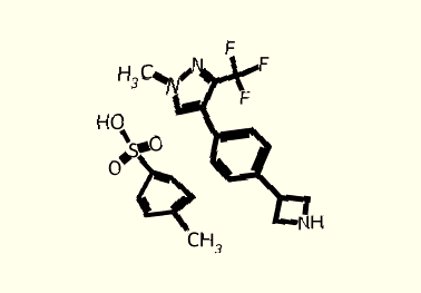 Cc1ccc(S(=O)(=O)O)cc1.Cn1cc(-c2ccc(C3CNC3)cc2)c(C(F)(F)F)n1